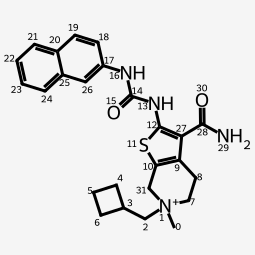 C[N+]1(CC2CCC2)CCc2c(sc(NC(=O)Nc3ccc4ccccc4c3)c2C(N)=O)C1